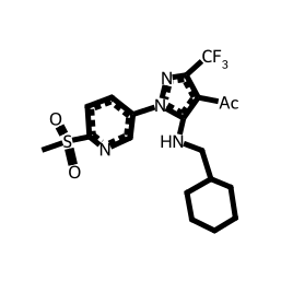 CC(=O)c1c(C(F)(F)F)nn(-c2ccc(S(C)(=O)=O)nc2)c1NCC1CCCCC1